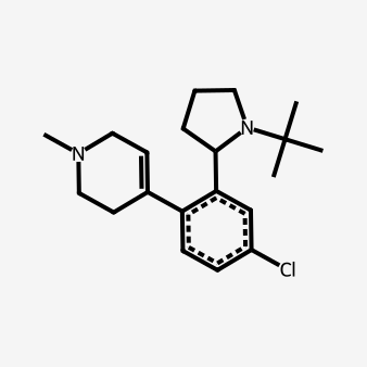 CN1CC=C(c2ccc(Cl)cc2C2CCCN2C(C)(C)C)CC1